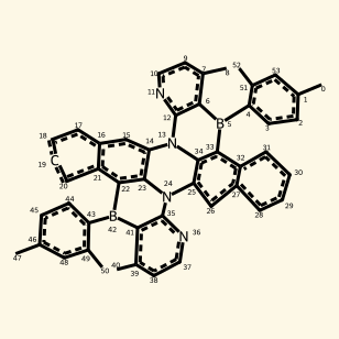 Cc1ccc(B2c3c(C)ccnc3N3c4cc5ccccc5c5c4N(c4cc6ccccc6c2c43)c2nccc(C)c2B5c2ccc(C)cc2C)c(C)c1